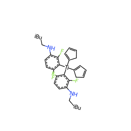 CCC(C)CNc1ccc(F)[c]([Ti]([C]2=CC=CC2)([C]2=CC=CC2)[c]2c(F)ccc(NCC(C)CC)c2F)c1F